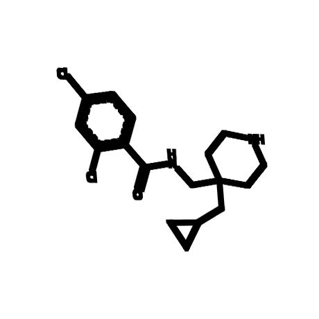 O=C(NCC1(CC2CC2)CCNCC1)c1ccc(Cl)cc1Cl